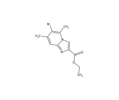 CCOC(=O)c1cn2c(C)c(Br)c(C)cc2n1